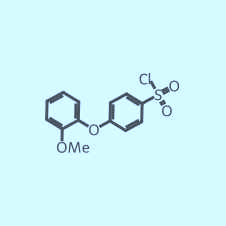 COc1ccccc1Oc1ccc(S(=O)(=O)Cl)cc1